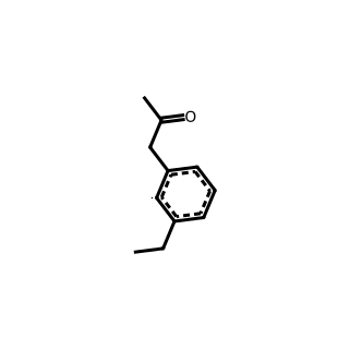 CCc1[c]c(CC(C)=O)ccc1